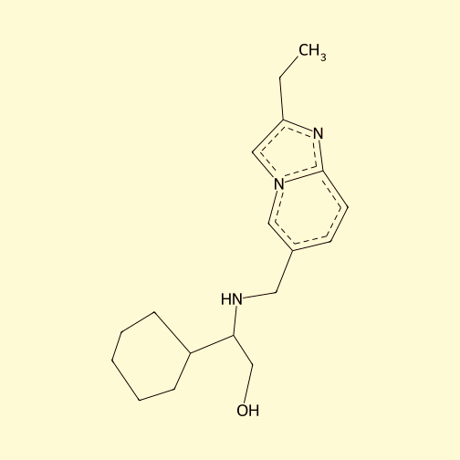 CCc1cn2cc(CNC(CO)C3CCCCC3)ccc2n1